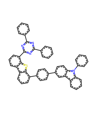 c1ccc(-c2nc(-c3ccccc3)nc(-c3cccc4c3sc3c(-c5ccc(-c6ccc7c(c6)c6ccccc6n7-c6ccccc6)cc5)cccc34)n2)cc1